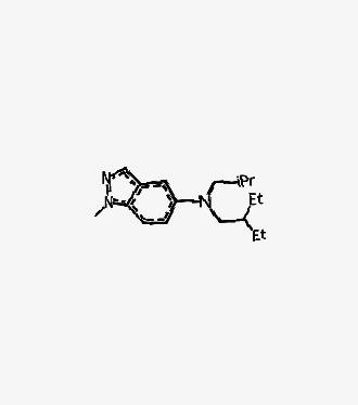 CCC(CC)CN(CC(C)C)c1ccc2c(cnn2C)c1